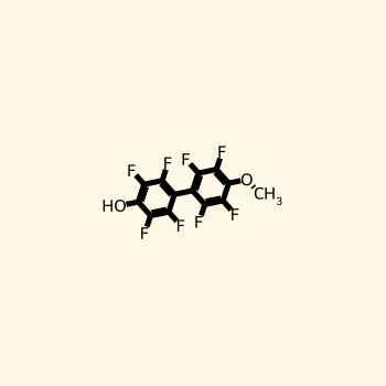 COc1c(F)c(F)c(-c2c(F)c(F)c(O)c(F)c2F)c(F)c1F